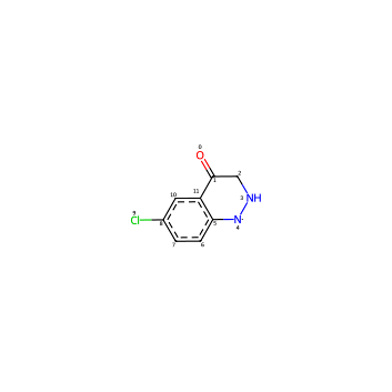 O=C1CN[N]c2ccc(Cl)cc21